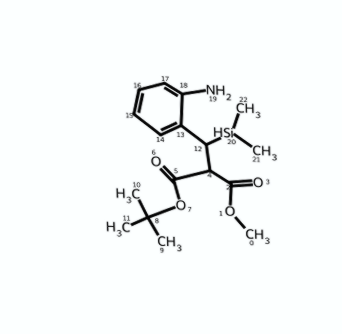 COC(=O)C(C(=O)OC(C)(C)C)C(c1ccccc1N)[SiH](C)C